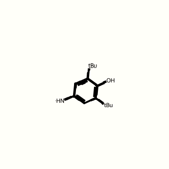 CC(C)(C)c1cc([NH])cc(C(C)(C)C)c1O